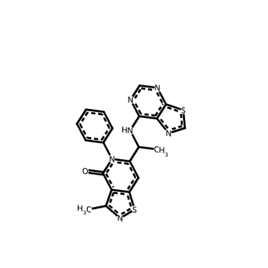 Cc1nsc2cc(C(C)Nc3ncnc4scnc34)n(-c3ccccc3)c(=O)c12